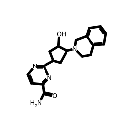 NC(=O)c1ccnc(C2CC(O)C(N3CCc4ccccc4C3)C2)n1